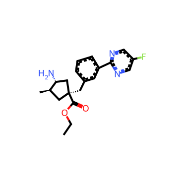 CCOC(=O)[C@@]1(Cc2cccc(-c3ncc(F)cn3)c2)C[C@@H](C)[C@H](N)C1